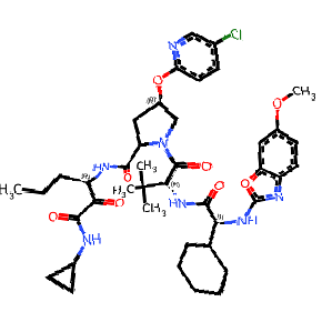 CCC[C@@H](NC(=O)C1C[C@@H](Oc2ccc(Cl)cn2)CN1C(=O)[C@H](NC(=O)[C@@H](Nc1nc2ccc(OC)cc2o1)C1CCCCC1)C(C)(C)C)C(=O)C(=O)NC1CC1